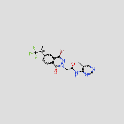 Cc1cncnc1NC(=O)Cn1nc(Br)c2cc([C@H](C)C(F)(F)F)ccc2c1=O